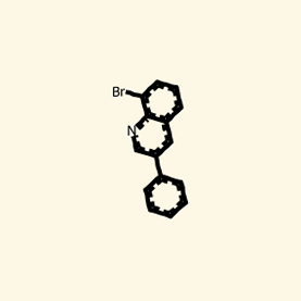 Brc1cccc2cc(-c3ccccc3)cnc12